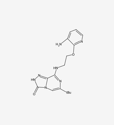 CC(C)(C)c1cn2c(=O)[nH]nc2c(NCCOc2ncccc2N)n1